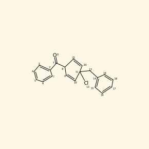 O=C(c1ccccc1)C1C=CC(Cl)(Cc2ccccc2)C=C1